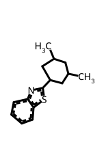 CC1CC(C)CC(c2nc3ccccc3s2)C1